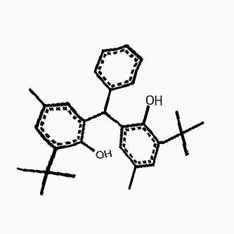 Cc1cc(C(c2ccccc2)c2cc(C)cc(C(C)(C)C)c2O)c(O)c(C(C)(C)C)c1